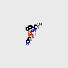 CN1CCc2cc(S(=O)(=O)NC(=O)Nc3c(-c4ccnc(C#N)c4)ccc4c3CCC4)sc2C1